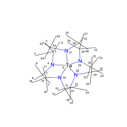 CC(C)(C)[N](C(C)(C)C)[Ta]([N](C(C)(C)C)C(C)(C)C)([N](C(C)(C)C)C(C)(C)C)([N](C(C)(C)C)C(C)(C)C)[N](C(C)(C)C)C(C)(C)C